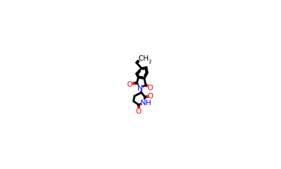 C=Cc1ccc2c(c1)C(=O)N(C1CCC(=O)NC1=O)C2=O